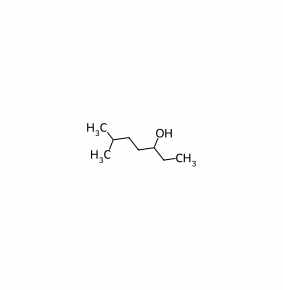 CCC(O)CCC(C)C